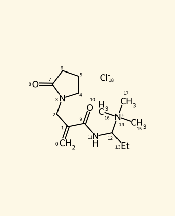 C=C(CN1CCCC1=O)C(=O)NC(CC)[N+](C)(C)C.[Cl-]